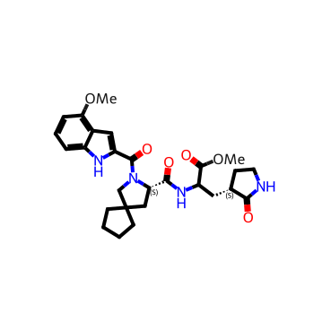 COC(=O)C(C[C@@H]1CCNC1=O)NC(=O)[C@@H]1CC2(CCCC2)CN1C(=O)c1cc2c(OC)cccc2[nH]1